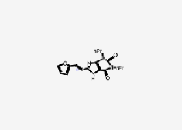 CCCn1c(=O)c2[nH]c(/C=C/c3ccco3)nc2n(CCC)c1=O